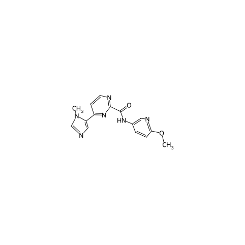 COc1ccc(NC(=O)c2nccc(-c3cncn3C)n2)cn1